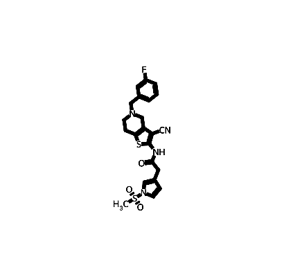 CS(=O)(=O)n1ccc(CC(=O)Nc2sc3c(c2C#N)CN(Cc2cccc(F)c2)CC3)c1